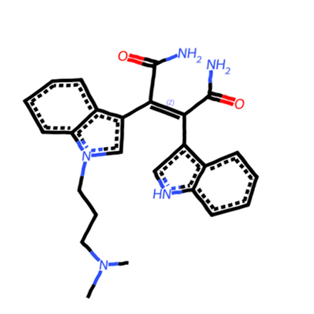 CN(C)CCCn1cc(/C(C(N)=O)=C(/C(N)=O)c2c[nH]c3ccccc23)c2ccccc21